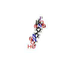 O=C1O[C@@H](CO)CN1c1ccc(-c2ccc3c(c2)OC[C@H]2[C@H](CI)OC(=O)N32)cn1